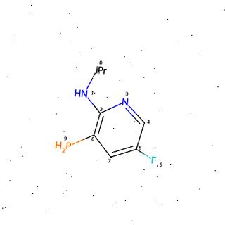 CC(C)Nc1ncc(F)cc1P